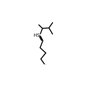 [CH2]CCCC=[SiH]C(C)C(C)C